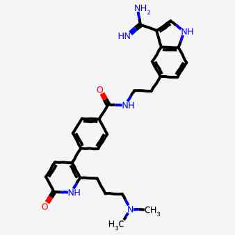 CN(C)CCCc1[nH]c(=O)ccc1-c1ccc(C(=O)NCCc2ccc3[nH]cc(C(=N)N)c3c2)cc1